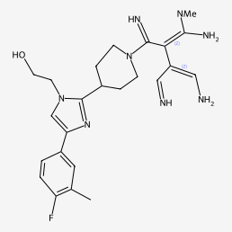 CN/C(N)=C(C(=N)N1CCC(c2nc(-c3ccc(F)c(C)c3)cn2CCO)CC1)/C(C=N)=C/N